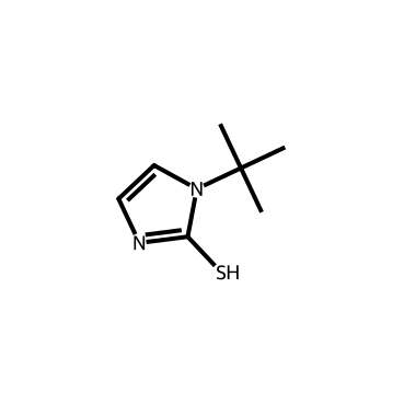 CC(C)(C)n1ccnc1S